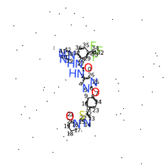 O=C(Nc1cnc(Oc2ccc(-c3cnc(N4CCCC4=O)s3)cc2)nc1)Nc1cc(C(F)(F)F)ccc1-n1cnnc1